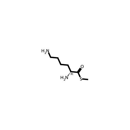 CSC(=O)[C@H](N)CCCCN